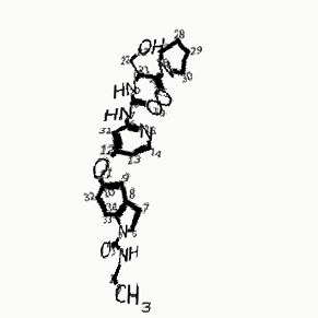 CCNC(=O)n1ccc2cc(Oc3ccnc(NC(=O)N[C@@H](CO)C(=O)N4CCCC4)c3)ccc21